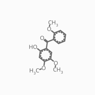 COc1cc(O)c(C(=O)c2ccccc2OC)cc1OC